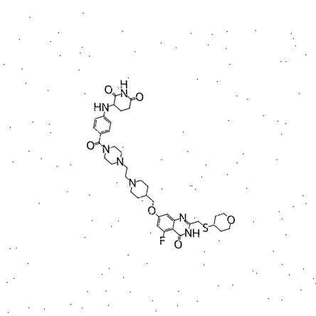 O=C1CCC(Nc2ccc(C(=O)N3CCN(CCN4CCC(COc5cc(F)c6c(=O)[nH]c(CSC7CCOCC7)nc6c5)CC4)CC3)cc2)C(=O)N1